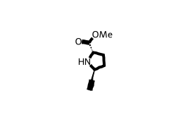 C#C[C@@H]1CC[C@@H](C(=O)OC)N1